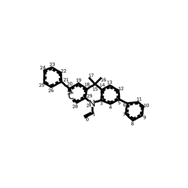 C=CN1c2cc(-c3ccccc3)ccc2C(C)(C)c2cc(-c3ccccc3)ccc21